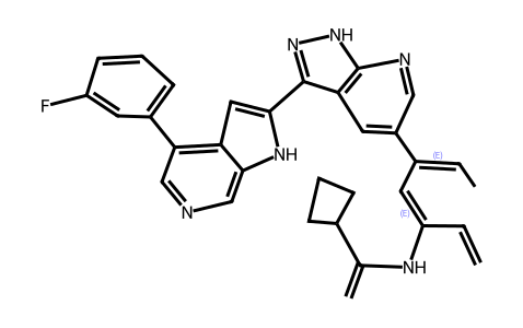 C=C/C(=C\C(=C/C)c1cnc2[nH]nc(-c3cc4c(-c5cccc(F)c5)cncc4[nH]3)c2c1)NC(=C)C1CCC1